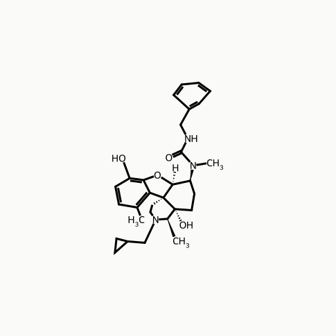 Cc1ccc(O)c2c1[C@]13CCN(CC4CC4)[C@H](C)[C@]1(O)CC[C@H](N(C)C(=O)NCc1ccccc1)[C@@H]3O2